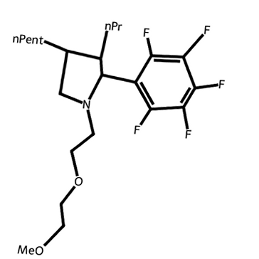 CCCCCC1CN(CCOCCOC)C(c2c(F)c(F)c(F)c(F)c2F)C1CCC